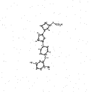 O=C(O)Cn1nnc(-c2cc(-c3ccc(Oc4cc(F)ccc4Br)nc3)no2)n1